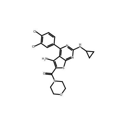 Nc1c(C(=O)N2CCOCC2)sc2nc(NC3CC3)nc(-c3ccc(Cl)c(Cl)c3)c12